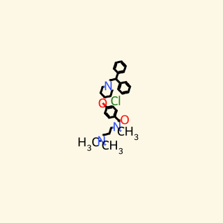 CN(C)CCCN(C)C(=O)c1ccc(OC2CCN(CC(c3ccccc3)c3ccccc3)CC2)c(Cl)c1